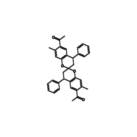 CC(=O)c1cc2c(cc1C)OC1(CC2c2ccccc2)CC(c2ccccc2)c2cc(C(C)=O)c(C)cc2O1